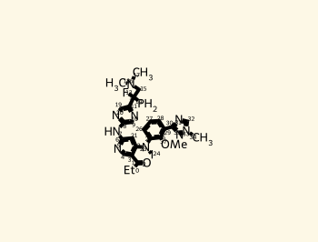 CCC(=O)c1cnc(Nc2cnc(C(F)(P)CN(C)C)cn2)cc1N(I)c1cccc(-c2ncn(C)n2)c1OC